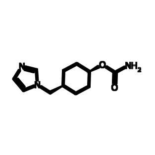 NC(=O)O[C@H]1CC[C@@H](Cn2ccnc2)CC1